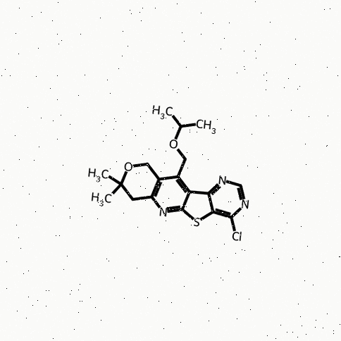 CC(C)OCc1c2c(nc3sc4c(Cl)ncnc4c13)CC(C)(C)OC2